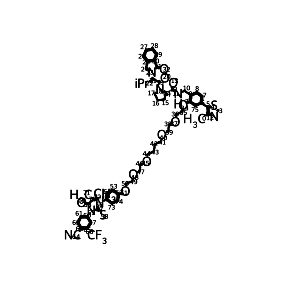 Cc1ncsc1-c1ccc(CNC(=O)[C@@H]2CCCN2C(=O)C(C(C)C)N2Cc3ccccc3C2=O)c(OCCOCCOCCCCOCCOCCOc2ccc(N3C(=S)N(c4ccc(C#N)c(C(F)(F)F)c4)C(=O)C3(C)C)cc2)c1